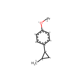 CC(C)Oc1ccc(C2CC2C)cc1